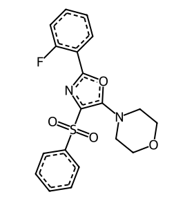 O=S(=O)(c1ccccc1)c1nc(-c2ccccc2F)oc1N1CCOCC1